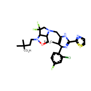 CCOC(=O)C1=C(CN2CC(F)(F)C3C2CON3CCC(C)(C)C(=O)O)NC(c2nccs2)=NC1c1ccc(F)cc1Cl